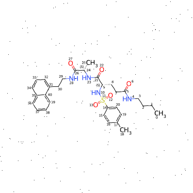 CCCCNC(=O)CC[C@H](NS(=O)(=O)c1ccc(C)cc1)C(=O)N[C@@H](C)C(=O)NCCc1cccc2ccccc12